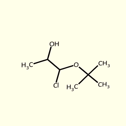 CC(O)C(Cl)OC(C)(C)C